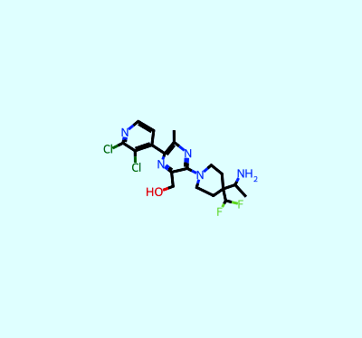 Cc1nc(N2CCC(C(C)N)(C(F)F)CC2)c(CO)nc1-c1ccnc(Cl)c1Cl